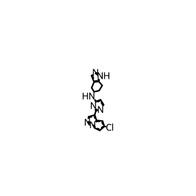 Clc1ccn2ncc(-c3nccc(NC4CCc5[nH]ncc5C4)n3)c2c1